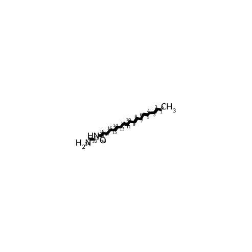 CCC=CCC=CCC=CCC=CCC=CCCCC(=O)NCCN